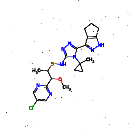 COC(c1ncc(Cl)cn1)C(C)SNc1nnc(-c2n[nH]c3c2CCC3)n1C1(C)CC1